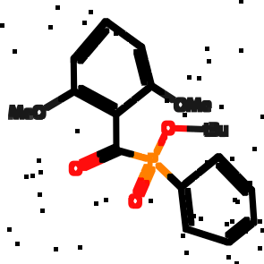 COc1cccc(OC)c1C(=O)P(=O)(OC(C)(C)C)c1ccccc1